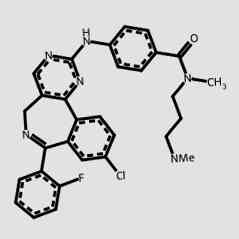 CNCCCN(C)C(=O)c1ccc(Nc2ncc3c(n2)-c2ccc(Cl)cc2C(c2ccccc2F)=NC3)cc1